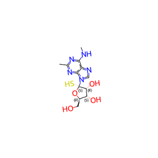 CNc1nc(C)nc2c1ncn2[C@]1(S)O[C@H](CO)[C@@H](O)[C@H]1O